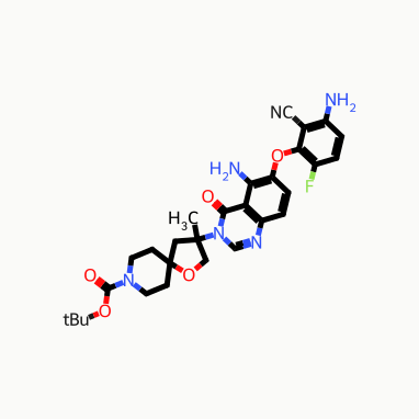 CC(C)(C)OC(=O)N1CCC2(CC1)CC(C)(n1cnc3ccc(Oc4c(F)ccc(N)c4C#N)c(N)c3c1=O)CO2